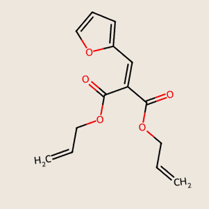 C=CCOC(=O)C(=Cc1ccco1)C(=O)OCC=C